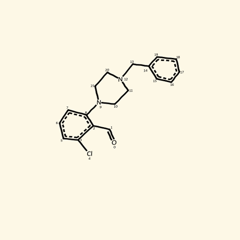 O=Cc1c(Cl)cccc1N1CCN(Cc2ccccc2)CC1